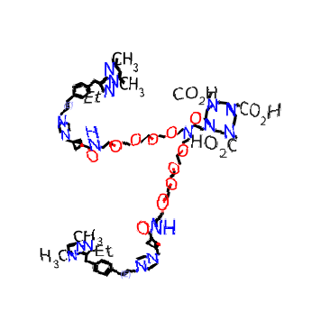 CCc1nn2c(C)cc(C)nc2c1Cc1ccc(/C=C/CN2CCN(CC34CC(C(=O)NCCOCCOCCOCCOCCN(CCOCCOCCOCCOCCNC(=O)C56CC(CN7CCN(C/C=C/c8ccc(Cc9c(CC)nn%10c(C)cc(C)nc9%10)cc8)CC7)(C5)C6)C(=O)CN5CCN(CC(=O)O)CCN(CC(=O)O)CCN(CC(=O)O)CC5)(C3)C4)CC2)cc1